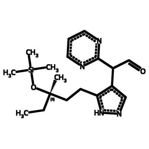 CC[C@](C)(CCc1[nH]ncc1C(C=O)c1ncccn1)O[Si](C)(C)C